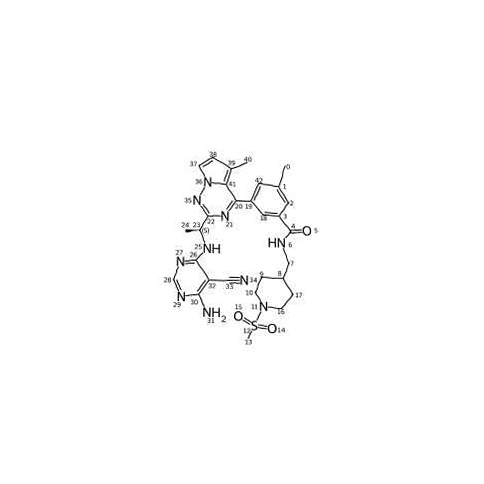 Cc1cc(C(=O)NCC2CCN(S(C)(=O)=O)CC2)cc(-c2nc([C@H](C)Nc3ncnc(N)c3C#N)nn3ccc(C)c23)c1